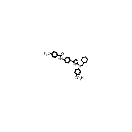 O=C(O)c1ccc(N(CC2CCCCC2)c2nc(-c3ccc(NC(=O)c4ccc(C(F)(F)F)cc4)cc3)cs2)cc1